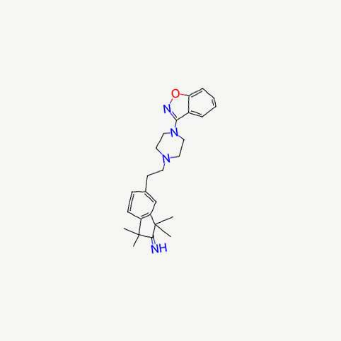 CC1(C)C(=N)C(C)(C)c2cc(CCN3CCN(c4noc5ccccc45)CC3)ccc21